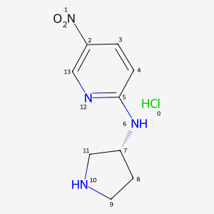 Cl.O=[N+]([O-])c1ccc(N[C@@H]2CCNC2)nc1